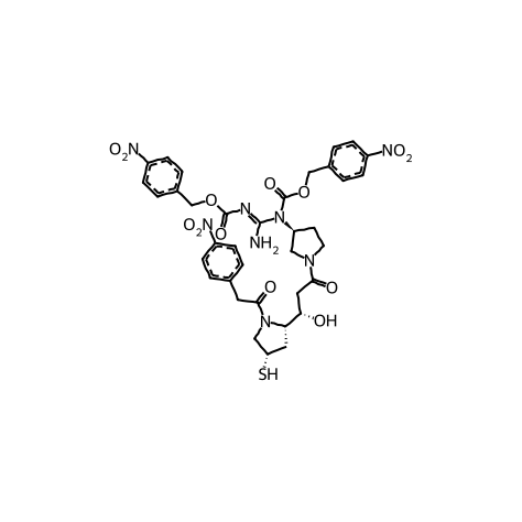 NC(=NC(=O)OCc1ccc([N+](=O)[O-])cc1)N(C(=O)OCc1ccc([N+](=O)[O-])cc1)[C@H]1CCN(C(=O)C[C@H](O)[C@@H]2C[C@H](S)CN2C(=O)Cc2ccc([N+](=O)[O-])cc2)C1